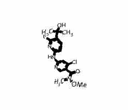 CON(C)C(=O)c1cnc(Nc2ccc(C(C)(C)O)c(F)n2)cc1Cl